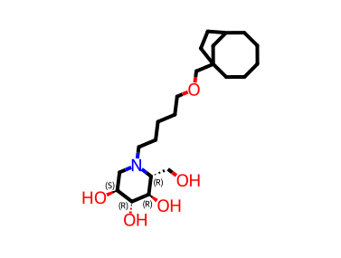 OC[C@@H]1[C@@H](O)[C@H](O)[C@@H](O)CN1CCCCCOCC12CCCCCC(CC1)C2